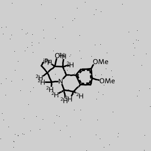 [2H]C1([2H])c2cc(OC)c(OC)cc2C2N(C1([2H])[2H])C([2H])([2H])C([2H])(CC(C)C)C([2H])(O)C2([2H])[2H]